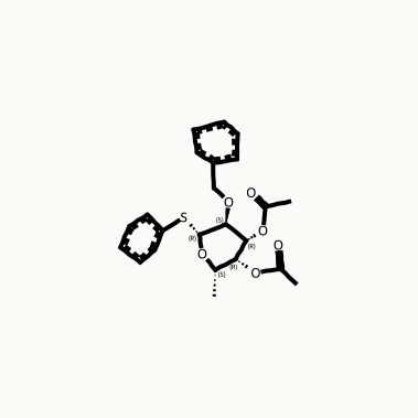 CC(=O)O[C@@H]1[C@H](OC(C)=O)[C@H](C)O[C@H](Sc2ccccc2)[C@H]1OCc1ccccc1